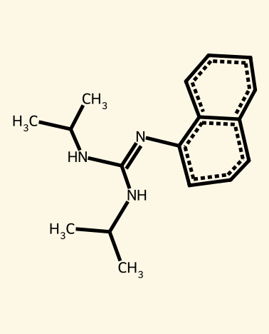 CC(C)NC(=Nc1cccc2ccccc12)NC(C)C